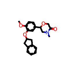 COc1ccc(C2CN(C)C(=O)CO2)cc1OC1Cc2ccccc2C1